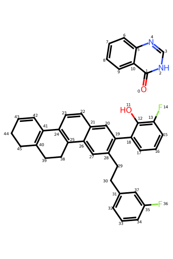 O=c1[nH]cnc2ccccc12.Oc1c(F)cccc1-c1cc2ccc3c(c2cc1CCc1cccc(F)c1)CCC1=C3C=CCC1